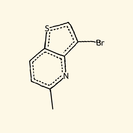 Cc1ccc2scc(Br)c2n1